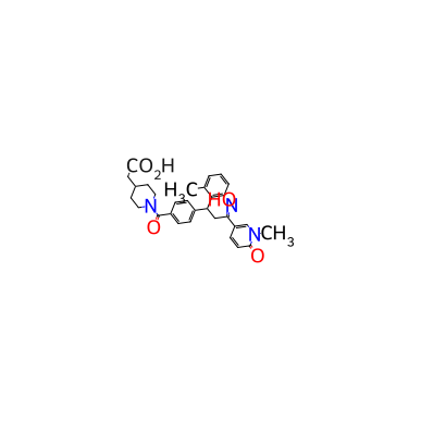 Cc1ccccc1C(C/C(=N\O)c1ccc(=O)n(C)c1)c1ccc(C(=O)N2CCC(CC(=O)O)CC2)cc1